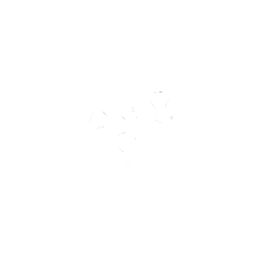 COC(=O)CN(CCc1c[nH]c2ccccc12)C(=O)c1nc(C)sc1-c1ccc(C)cc1